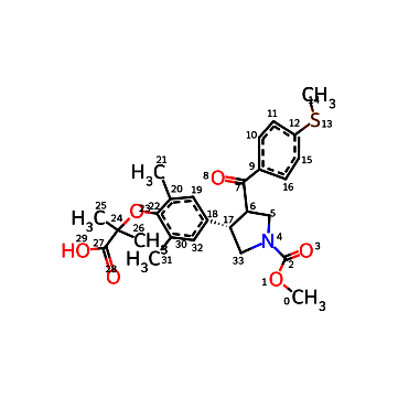 COC(=O)N1CC(C(=O)c2ccc(SC)cc2)[C@@H](c2cc(C)c(OC(C)(C)C(=O)O)c(C)c2)C1